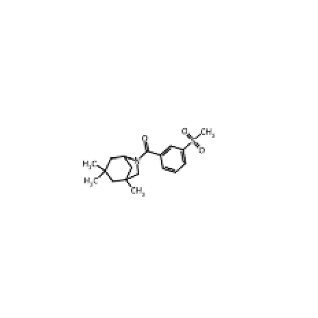 CC1(C)CC2CC(C)(CN2C(=O)c2cccc(S(C)(=O)=O)c2)C1